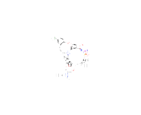 CN(C)[C@H]1CO[C@@H]([C@H]2CCC3(C)C[C@@H]3CS(=O)(=O)NC(=O)c3ccc4c(c3)N(CCCCc3cc(Cl)ccc3CO4)C[C@@H]3CC[C@H]32)OC1